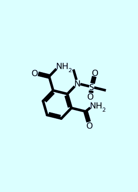 CN(c1c(C(N)=O)cccc1C(N)=O)S(C)(=O)=O